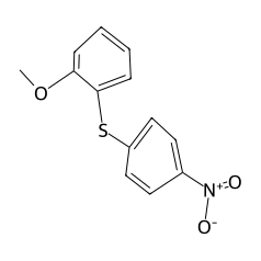 COc1ccccc1Sc1ccc([N+](=O)[O-])cc1